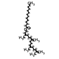 CCCCCCCCCCCCCC(=O)OCC=C(C)CCC=C(C)CCC=C(C)CCC=C(C)C